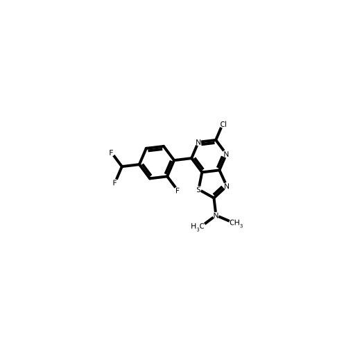 CN(C)c1nc2nc(Cl)nc(-c3ccc(C(F)F)cc3F)c2s1